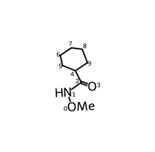 CONC(=O)C1CCCCC1